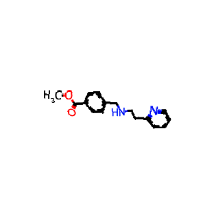 COC(=O)c1ccc(CNCCc2ccccn2)cc1